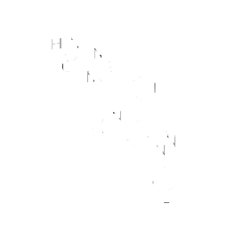 CC1C(=O)N(c2ccc3c(cnn3-c3ccc(F)cc3)c2)C(c2ccccc2)C1c1ccnc(C(N)=O)n1